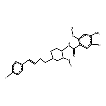 COc1cc(N)c(Cl)cc1C(=O)NC1CCN(CCC=Cc2ccc(F)cc2)CC1OC